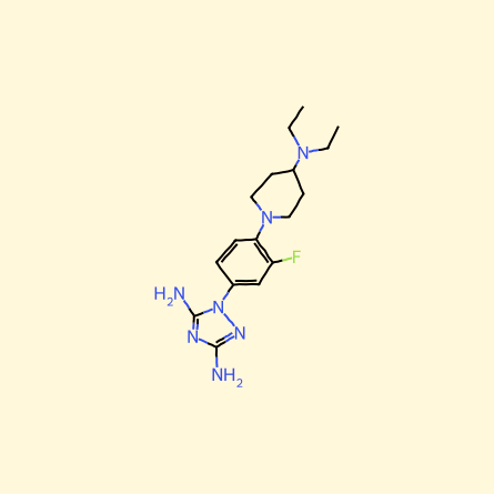 CCN(CC)C1CCN(c2ccc(-n3nc(N)nc3N)cc2F)CC1